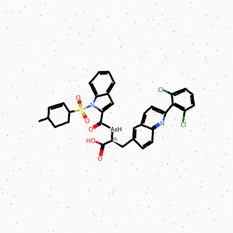 CC1C=CC(S(=O)(=O)n2c(C(=O)[AsH][C@@H](Cc3ccc4nc(-c5c(Cl)cccc5Cl)ccc4c3)C(=O)O)cc3ccccc32)CC1